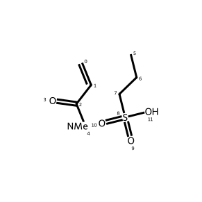 C=CC(=O)NC.CCCS(=O)(=O)O